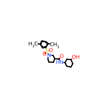 Cc1ccc(C)c(S(=O)(=O)N2CCCC(C(=O)NC3CCCC(O)C3)C2)c1